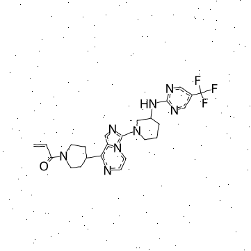 C=CC(=O)N1CCC(c2nccn3c(N4CCCC(Nc5ncc(C(F)(F)F)cn5)C4)ncc23)CC1